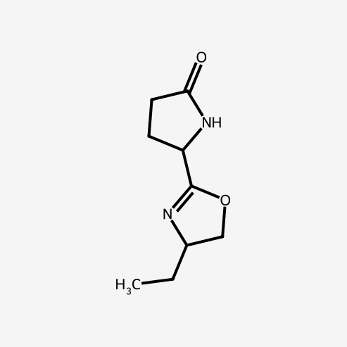 CCC1COC(C2CCC(=O)N2)=N1